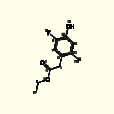 CCOC(=O)Cc1cc(F)c(O)cc1F